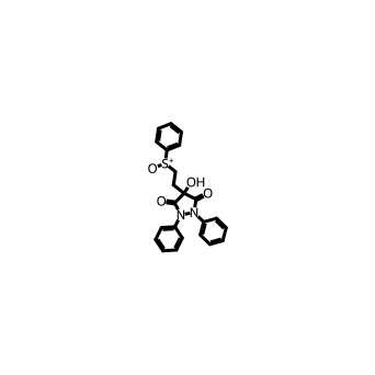 O=C1N(c2ccccc2)N(c2ccccc2)C(=O)C1(O)CC[S+]([O-])c1ccccc1